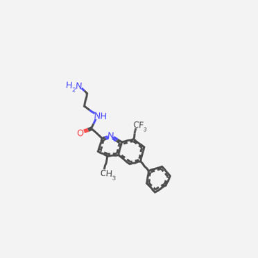 Cc1cc(C(=O)NCCN)nc2c(C(F)(F)F)cc(-c3ccccc3)cc12